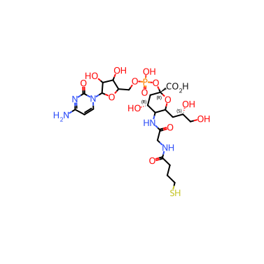 Nc1ccn(C2OC(COP(=O)(O)O[C@@]3(C(=O)O)C[C@@H](O)C(NC(=O)CNC(=O)CCCS)C(C[C@H](O)CO)O3)C(O)C2O)c(=O)n1